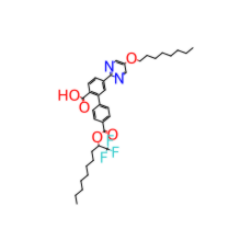 CCCCCCCCOc1cnc(-c2ccc(C(=O)O)c(-c3ccc(C(=O)OC(CCCCCCCC)C(F)(F)F)cc3)c2)nc1